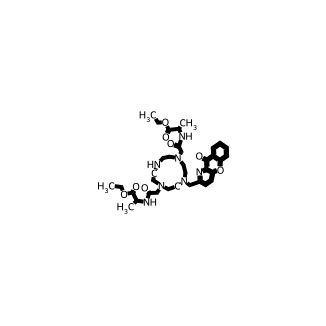 CCOC(=O)C(C)NC(=O)CN1CCNCCN(CC(=O)NC(C)C(=O)OCC)CCN(Cc2ccc3oc4ccccc4c(=O)c3n2)CC1